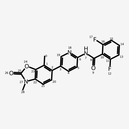 Cc1c(-c2ccc(NC(=O)c3c(F)cccc3F)nc2)ccc2c1oc(=O)n2C